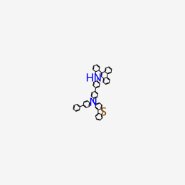 CC1C=CC=CC1c1c(Nc2ccc(-c3ccc(N(c4ccc(-c5ccccc5)cc4)c4ccc5sc6ccccc6c5c4)cc3)cc2)c2ccccc2c2ccccc12